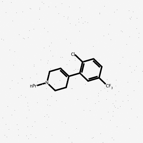 CCCN1CC=C(c2cc(C(F)(F)F)ccc2Cl)CC1